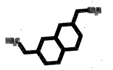 O=C(O)CC1CCC2CCC(CC(=O)O)CC2C1